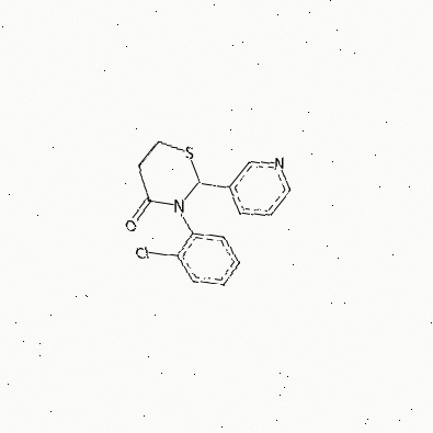 O=C1CCSC(c2cccnc2)N1c1ccccc1Cl